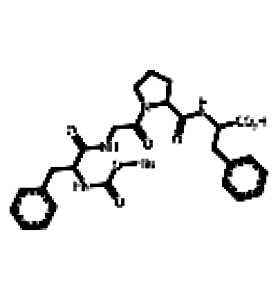 CC(C)(C)OC(=O)NC(Cc1ccccc1)C(=O)NCC(=O)N1CCCC1C(=O)NC(Cc1ccccc1)C(=O)O